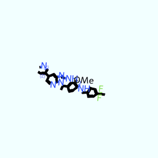 C/C=C(\C=N/C)C1C=CN=c2c(nc(N)n2C(C)c2ccc(NCc3ccc(C(C)(F)F)cc3)c(OC)c2)=C1